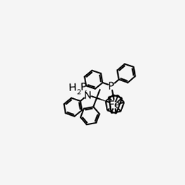 CC(c1ccccc1)(N(P)c1ccccc1)[C@@]12[CH]3[CH]4[CH]5[C]1(P(c1ccccc1)c1ccccc1)[Fe]45321678[CH]2[CH]1[CH]6[CH]7[CH]28